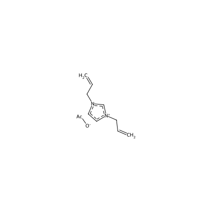 C=CCn1cc[n+](CC=C)c1.CC(=O)[O-]